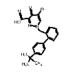 CC(C)(C)c1ccc(-c2ccccc2Cn2cc(O)c(=O)c(C(=O)O)n2)cc1